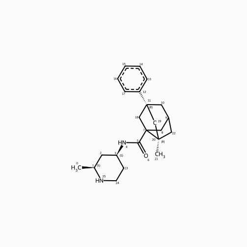 C[C@H]1C[C@@H](NC(=O)C23CC4C[C@](c5ccccc5)(C2)C[C@@]3(C)C4)CCN1